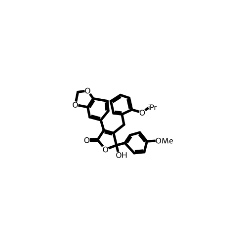 COc1ccc(C2(O)OC(=O)C(c3ccc4c(c3)OCO4)=C2Cc2ccccc2OC(C)C)cc1